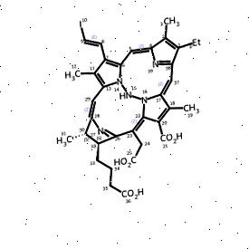 CCC1=C(C)/C2=C/c3c(/C=C/I)c(C)c4n3Nn3/c(c(C)c(C(=O)O)/c3=C(\CC(=O)O)C3=N/C(=C\4)[C@@H](C)[C@@H]3CCCC(=O)O)=C\C1=N2